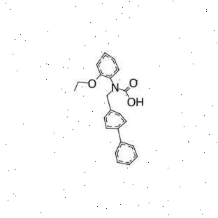 CCOc1ccccc1N(Cc1ccc(-c2ccccc2)cc1)C(=O)O